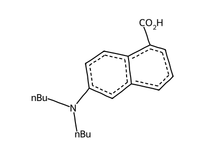 CCCCN(CCCC)c1ccc2c(C(=O)O)cccc2c1